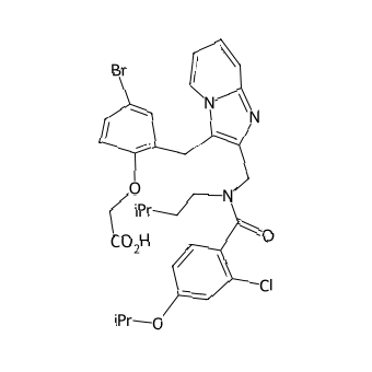 CC(C)CCN(Cc1nc2ccccn2c1Cc1cc(Br)ccc1OCC(=O)O)C(=O)c1ccc(OC(C)C)cc1Cl